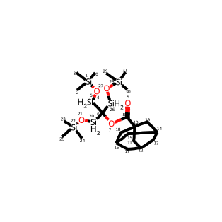 C[Si](C)(C)O[SiH2]C(OC(=O)C12CC3CC(CC(C3)C1)C2)([SiH2]O[Si](C)(C)C)[SiH2]O[Si](C)(C)C